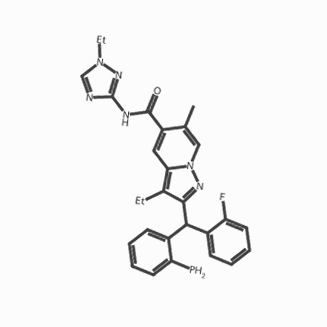 CCc1c(C(c2ccccc2F)c2ccccc2P)nn2cc(C)c(C(=O)Nc3ncn(CC)n3)cc12